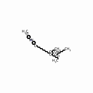 CCCCCCCC1OC(CC)CC(CC2CC(CC(C)O)OC(CCCCCCCCCCOc3ccc(/N=N/c4ccc(OCC)cc4)cc3)O2)O1